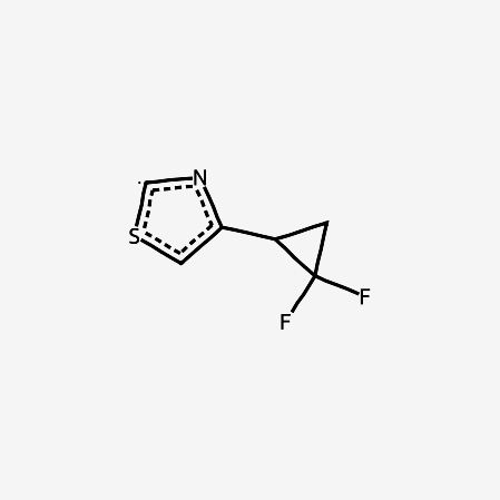 FC1(F)CC1c1cs[c]n1